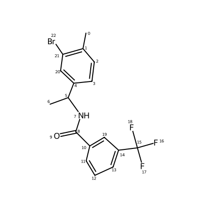 Cc1ccc(C(C)NC(=O)c2cccc(C(F)(F)F)c2)cc1Br